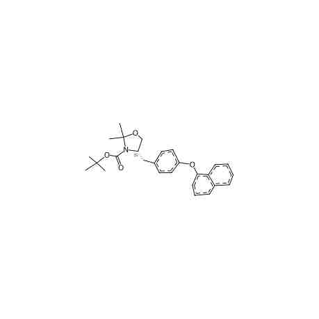 CC(C)(C)OC(=O)N1[C@@H](Cc2ccc(Oc3cccc4ccccc34)cc2)COC1(C)C